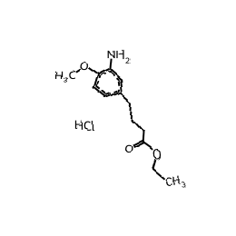 CCOC(=O)CCCc1ccc(OC)c(N)c1.Cl